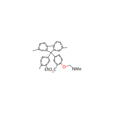 CCOC(=O)c1cc(C2(c3ccc(C)c(C)c3)c3cc(C)ccc3-c3ccc(C)cc32)ccc1OCNC